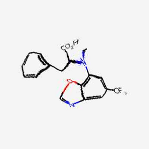 CN(c1cc(C(F)(F)F)cc2ncoc12)C(Cc1ccccc1)C(=O)O